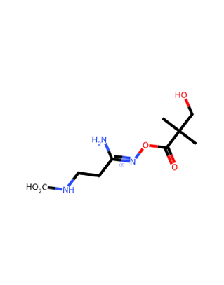 CC(C)(CO)C(=O)O/N=C(\N)CCNC(=O)O